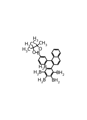 Bc1c(B)c(B)c(-c2ccc3ccccc3c2-c2cccc(B3OC(C)(C)C(C)(C)O3)c2)c(B)c1B